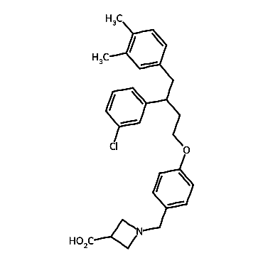 Cc1ccc(CC(CCOc2ccc(CN3CC(C(=O)O)C3)cc2)c2cccc(Cl)c2)cc1C